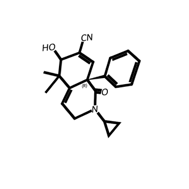 CC1(C)C2=CCN(C3CC3)C(=O)[C@@]2(c2ccccc2)C=C(C#N)C1O